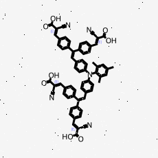 Cc1cc(C)c(N(c2ccc(C=C(c3ccc(/C=C(\C#N)C(=O)O)cc3)c3ccc(/C=C(\C#N)C(=O)O)cc3)cc2)c2ccc(C=C(c3ccc(/C=C(\C#N)C(=O)O)cc3)c3ccc(/C=C(\C#N)C(=O)O)cc3)cc2)c(C)c1